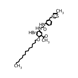 Br.CCCCCCCCCCCCCCOc1ccc(NC(=O)Nc2cccc(CN3C=C(C)SC3)c2)cc1C(C)=O